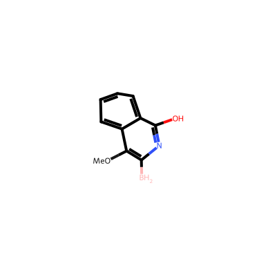 Bc1nc(O)c2ccccc2c1OC